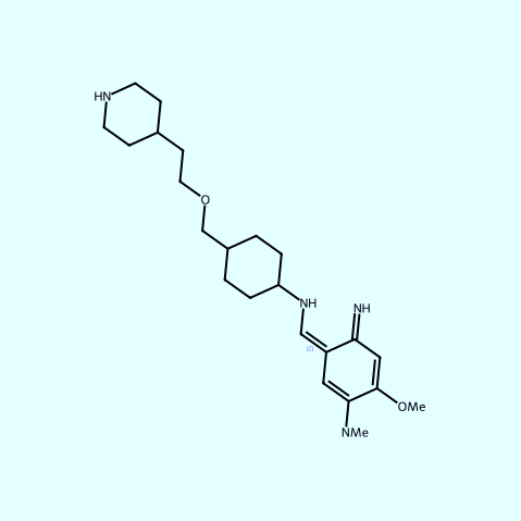 CNC1=C/C(=C/NC2CCC(COCCC3CCNCC3)CC2)C(=N)C=C1OC